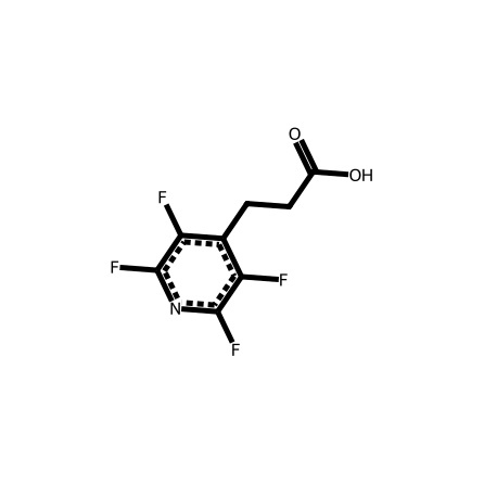 O=C(O)CCc1c(F)c(F)nc(F)c1F